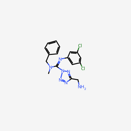 CN(Cc1ccccc1)C(=Nc1cc(Cl)cc(Cl)c1)n1nnc(CN)n1